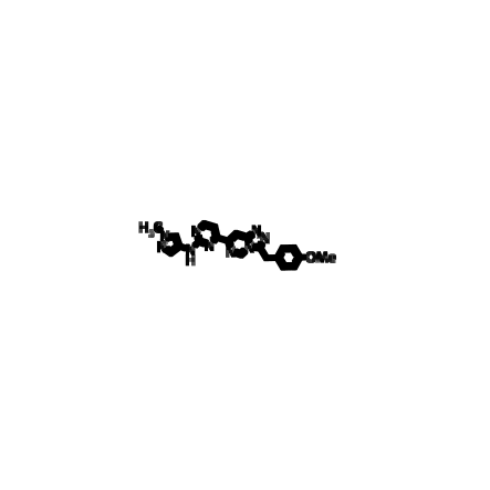 COc1ccc(Cc2nnc3cc(-c4ccnc(Nc5cnn(C)c5)n4)ncn23)cc1